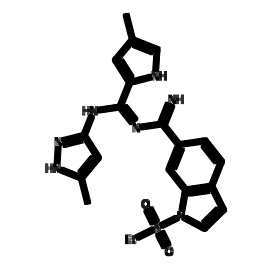 CCS(=O)(=O)n1ccc2ccc(C(=N)/N=C(/Nc3cc(C)[nH]n3)c3cc(C)c[nH]3)cc21